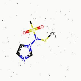 CS(=O)(=O)N(SC(F)(F)F)n1ccnc1